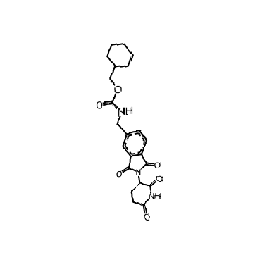 O=C1CCC(N2C(=O)c3ccc(CNC(=O)OCC4CCCCC4)cc3C2=O)C(=O)N1